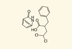 O=C(O)C(Cc1ccccc1)CC(Cl)Cl.O=c1[nH]c2ccc1cc2